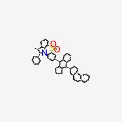 Cc1c(-c2ccccc2)n2c3c(cccc13)S(=O)(=O)c1cc(-c3c4ccccc4c(-c4ccc5c(ccc6ccccc65)c4)c4ccccc34)ccc1-2